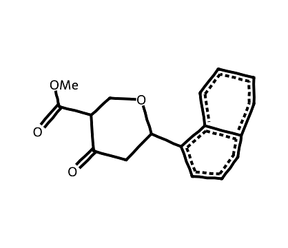 COC(=O)C1COC(c2cccc3ccccc23)CC1=O